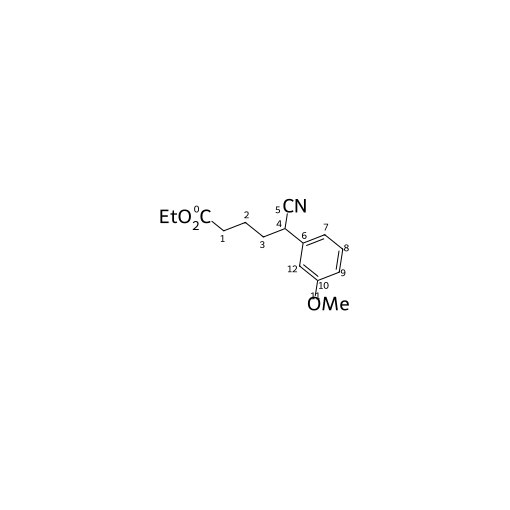 CCOC(=O)CCCC(C#N)c1cccc(OC)c1